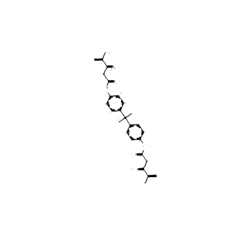 C=C(C)C(=O)CC(=O)Oc1ccc(C(C)(C)c2ccc(OC(=O)CC(=O)C(=C)C)cc2)cc1